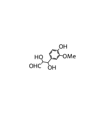 COc1cc(C(O)C(O)C=O)ccc1O